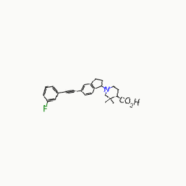 CC1(C)CN(C2CCc3cc(C#Cc4cccc(F)c4)ccc32)CCC1C(=O)O